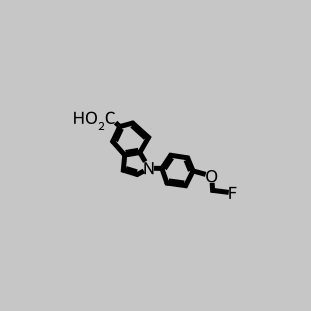 O=C(O)c1ccc2c(ccn2-c2ccc(OCF)cc2)c1